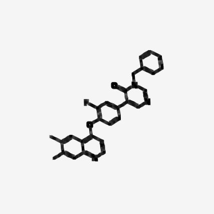 Cc1cc2nccc(Oc3ccc(-c4cncn(Cc5ccccc5)c4=O)cc3F)c2cc1C